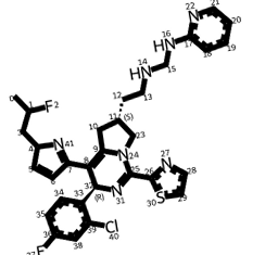 CC(F)CC1C=CC(C2=C3C[C@H](CCNCNc4ccccn4)CN3C(c3nccs3)=N[C@H]2c2ccc(F)cc2Cl)=N1